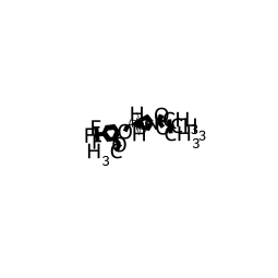 COc1cc(C(F)(F)F)ccc1OC[C@@H]1[C@H]2CN(C(=O)OC(C)(C)C)C[C@@H]12